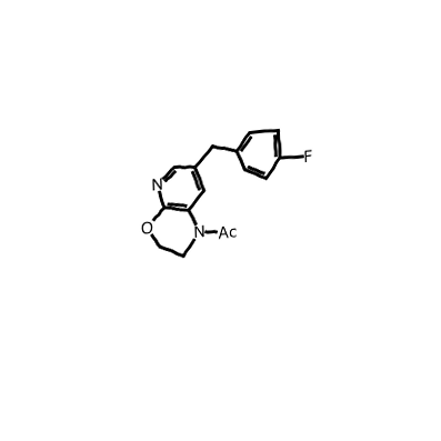 CC(=O)N1CCOc2ncc(Cc3ccc(F)cc3)cc21